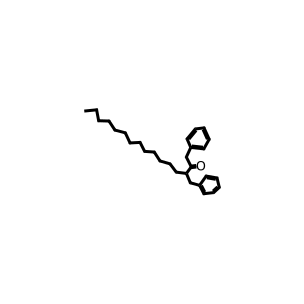 CCCCCCCCCCCCCC(Cc1ccccc1)C(=O)Cc1ccccc1